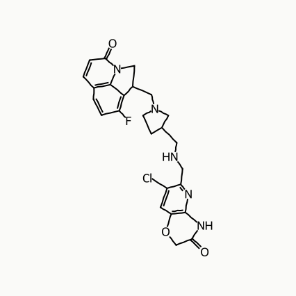 O=C1COc2cc(Cl)c(CNCC3CCN(CC4Cn5c(=O)ccc6ccc(F)c4c65)C3)nc2N1